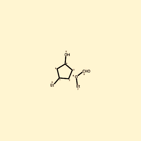 CCC1CCC(O)C1.CCOC=O